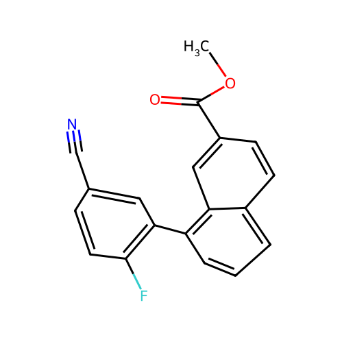 COC(=O)c1ccc2cccc(-c3cc(C#N)ccc3F)c2c1